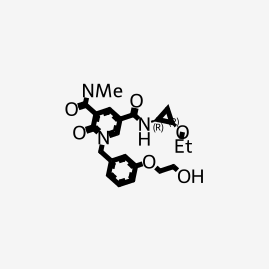 CCO[C@@H]1C[C@H]1NC(=O)c1cc(C(=O)NC)c(=O)n(Cc2cccc(OCCO)c2)c1